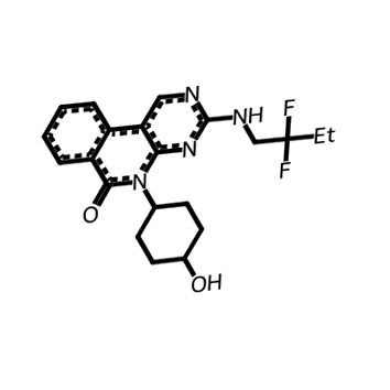 CCC(F)(F)CNc1ncc2c3ccccc3c(=O)n(C3CCC(O)CC3)c2n1